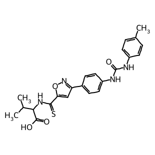 Cc1ccc(NC(=O)Nc2ccc(-c3cc(C(=S)NC(C(=O)O)C(C)C)on3)cc2)cc1